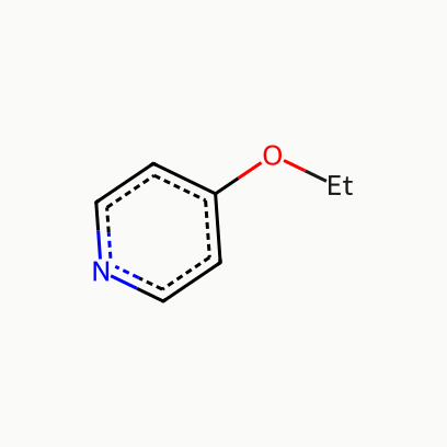 [CH2]COc1ccncc1